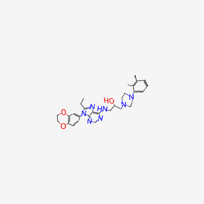 CCc1nc2c(NCC(O)CN3CCN(c4cccc(C)c4C)CC3)ncnc2n1-c1ccc2c(c1)OCCO2